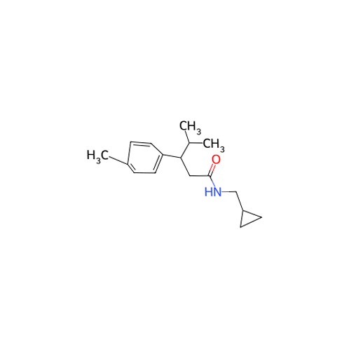 Cc1ccc(C(CC(=O)NCC2CC2)C(C)C)cc1